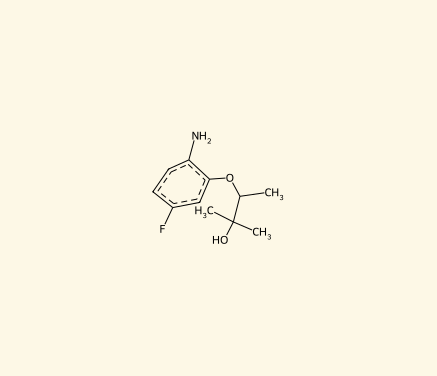 CC(Oc1cc(F)ccc1N)C(C)(C)O